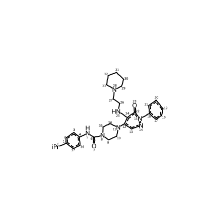 CC(C)c1ccc(NC(=O)N2CCN(c3cnn(-c4ccccc4)c(=O)c3NCCN3CCCCC3)CC2)cc1